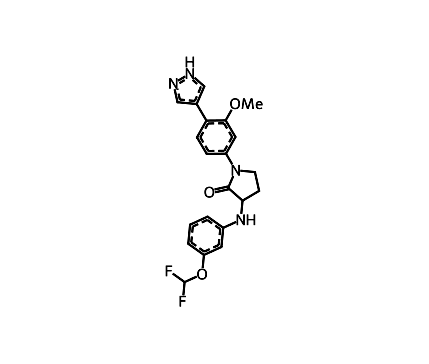 COc1cc(N2CCC(Nc3cccc(OC(F)F)c3)C2=O)ccc1-c1cn[nH]c1